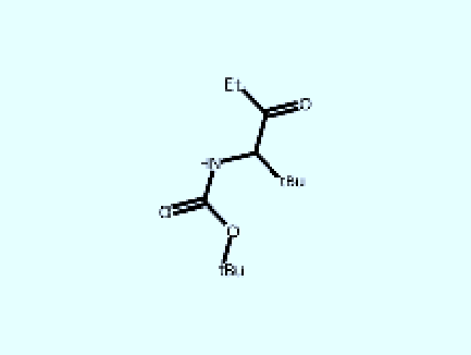 CCC(=O)C(NC(=O)OC(C)(C)C)C(C)(C)C